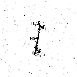 CC(=O)OCC(COC(C)=O)COC(=O)CCCCCCCN(CCO)CCCCCCCC(=O)OCC(COC(C)=O)COC(C)=O